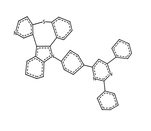 c1ccc(-c2cc(-c3ccc(-n4c5c(c6ccccc64)-c4cnccc4Sc4ccccc4-5)cc3)nc(-c3ccccc3)n2)cc1